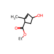 CCOC(=O)C1CC(O)C=C1C